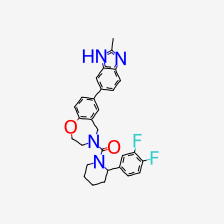 Cc1nc2ccc(-c3ccc4c(c3)CN(C(=O)N3CCCCC3c3ccc(F)c(F)c3)CCO4)cc2[nH]1